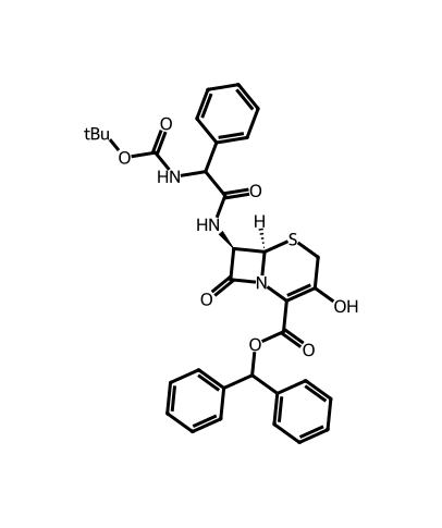 CC(C)(C)OC(=O)NC(C(=O)N[C@@H]1C(=O)N2C(C(=O)OC(c3ccccc3)c3ccccc3)=C(O)CS[C@H]12)c1ccccc1